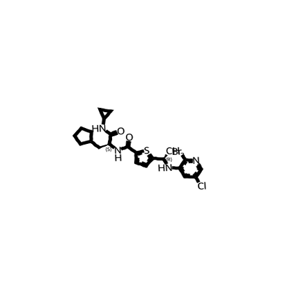 C[C@@H](Nc1cc(Cl)cnc1Br)c1ccc(C(=O)N[C@@H](CC2CCCC2)C(=O)NC2CC2)s1